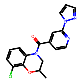 CC1CN(C(=O)c2ccnc(-n3cccn3)c2)c2cccc(Cl)c2O1